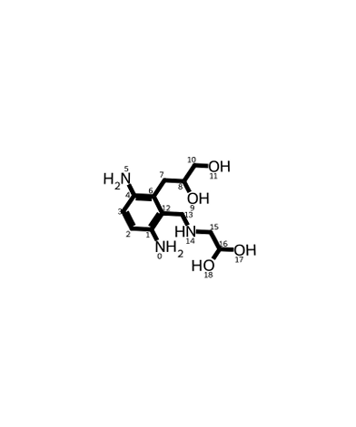 Nc1ccc(N)c(CC(O)CO)c1CNCC(O)O